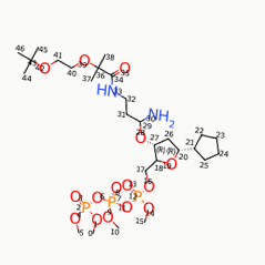 COP(=O)(OC)OP(=O)(OC)OP(=O)(OC)OCC1O[C@@H](C2CCCC2)C[C@H]1OC(N)CCNC(=O)C(C)(C)OCCOC(C)(C)C